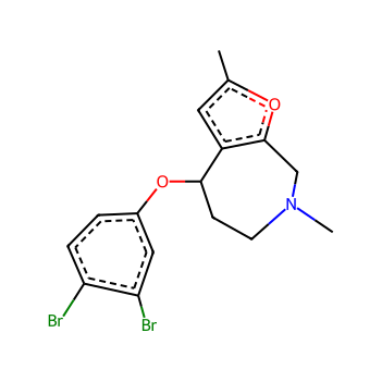 Cc1cc2c(o1)CN(C)CCC2Oc1ccc(Br)c(Br)c1